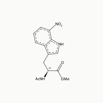 COC(=O)[C@H](Cc1c[nH]c2c([N+](=O)[O-])cccc12)NC(C)=O